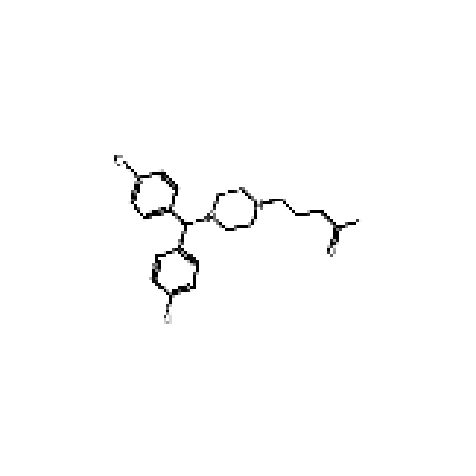 CC(=O)CCCN1CCN(C(c2ccc(Cl)cc2)c2ccc(Cl)cc2)CC1